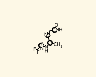 Cc1cc(Nc2nccc(C(F)F)n2)cc(-c2cnn(Cc3cc[nH]c(=O)c3)c2)c1